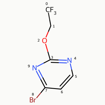 FC(F)(F)COc1nccc(Br)n1